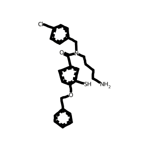 NCCCCN(Cc1ccc(Cl)cc1)C(=O)c1ccc(OCc2ccccc2)c(S)c1